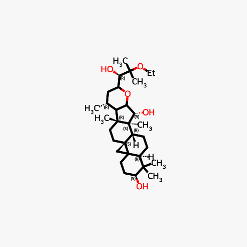 CCOC(C)(C)[C@H](O)C1C[C@@H](C)C2C(O1)[C@H](O)[C@@]1(C)[C@@H]3CC[C@H]4C(C)(C)[C@@H](O)CCC45C[C@@]35CC[C@]21C